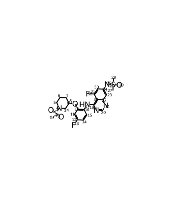 CS(=O)(=O)N1CCC[C@@H](Oc2cc(F)ccc2Nc2ncnc3cc(N=S(C)(C)=O)cc(F)c23)C1